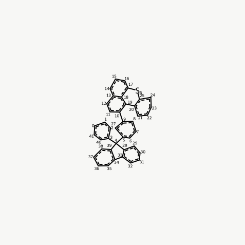 c1ccc(C2(c3cccc(-c4ccc5cccc6c5c4-c4ccccc4S6)c3)c3ccccc3-c3ccccc32)cc1